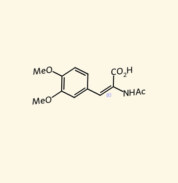 COc1ccc(/C=C(/NC(C)=O)C(=O)O)cc1OC